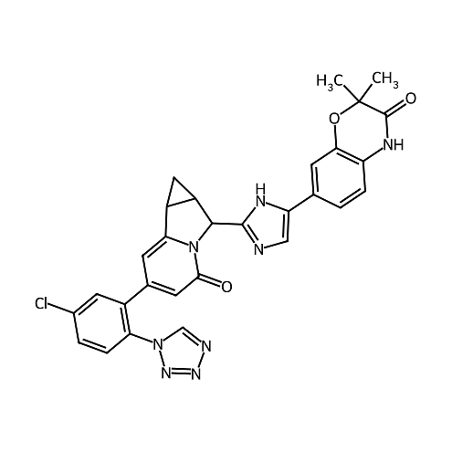 CC1(C)Oc2cc(-c3cnc(C4C5CC5c5cc(-c6cc(Cl)ccc6-n6cnnn6)cc(=O)n54)[nH]3)ccc2NC1=O